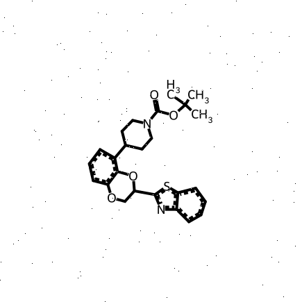 CC(C)(C)OC(=O)N1CCC(c2cccc3c2OC(c2nc4ccccc4s2)CO3)CC1